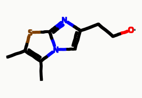 Cc1sc2nc(CC[O])cn2c1C